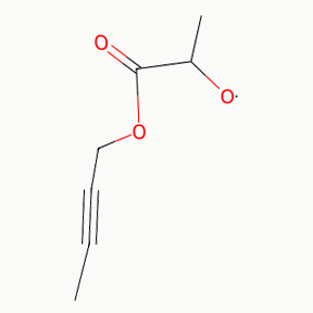 CC#CCOC(=O)C(C)[O]